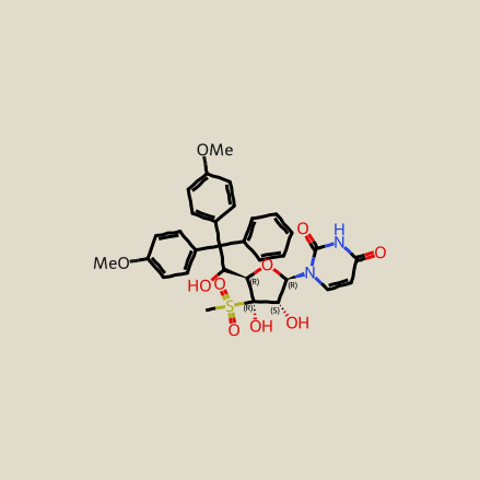 COc1ccc(C(c2ccccc2)(c2ccc(OC)cc2)C(O)[C@H]2O[C@@H](n3ccc(=O)[nH]c3=O)[C@H](O)[C@@]2(O)S(C)(=O)=O)cc1